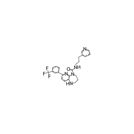 O=C(NCCCc1cccnc1)N1CCCNc2ccc(-c3cccc(C(F)(F)F)c3)nc21